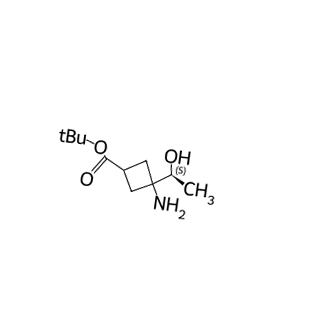 C[C@H](O)C1(N)CC(C(=O)OC(C)(C)C)C1